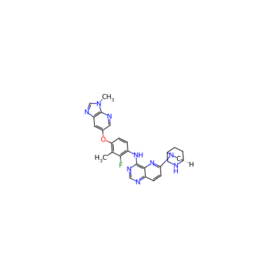 Cc1c(Oc2cnc3c(c2)ncn3C)ccc(Nc2ncnc3ccc(N4C[C@H]5CCC4CN5)nc23)c1F